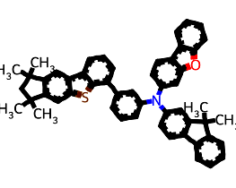 CC1(C)CC(C)(C)c2cc3c(cc21)sc1c(-c2cccc(N(c4ccc5c(c4)C(C)(C)c4ccccc4-5)c4ccc5c(c4)oc4ccccc45)c2)cccc13